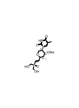 CO[C@@H]1[C@H](C)C(/C=C/P(=O)(CO)CO)OC[C@H]1n1cc(C)c(=O)[nH]c1=O